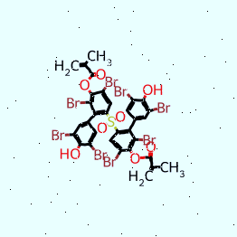 C=C(C)C(=O)Oc1c(Br)cc(S(=O)(=O)c2cc(Br)c(OC(=O)C(=C)C)c(Br)c2-c2cc(Br)c(O)c(Br)c2)c(-c2cc(Br)c(O)c(Br)c2)c1Br